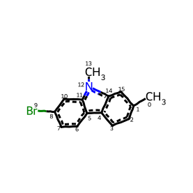 Cc1ccc2c3ccc(Br)cc3n(C)c2c1